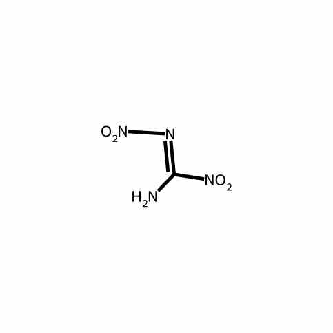 NC(=N[N+](=O)[O-])[N+](=O)[O-]